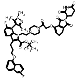 Cc1nn(C)c(C)c1-c1c(F)ccc2c(CCCOc3cccc4cc(F)ccc34)c(C(=O)OC(C)(C)C)n(CCN3CCN(C(=O)COC4=CCCC5=C4C(=O)N(C4CCC(=O)NC4=O)C5=O)CC3)c12